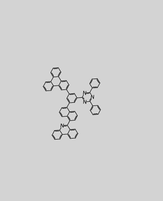 c1ccc(-c2nc(-c3ccccc3)nc(-c3cc(-c4ccc5c6ccccc6c6ccccc6c5c4)cc(-c4cccc5c(-c6nc7ccccc7c7ccccc67)cccc45)c3)n2)cc1